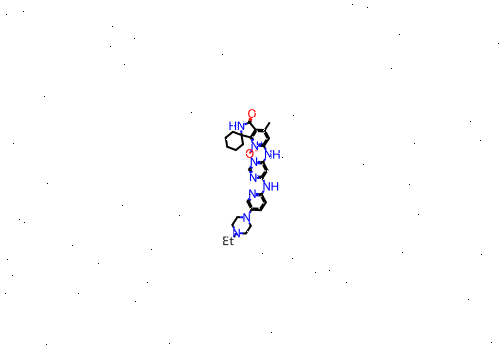 CCN1CCN(c2ccc(Nc3cc(Nc4cc(C)c5c([n+]4[O-])C4(CCCCC4)NC5=O)ncn3)nc2)CC1